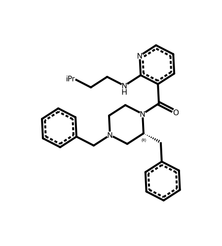 CC(C)CCNc1ncccc1C(=O)N1CCN(Cc2ccccc2)C[C@H]1Cc1ccccc1